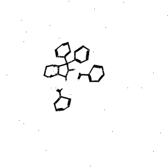 O=C(OC1C2C3CCC(O3)C2C(c2ccccc2)(c2ccccc2)C1OC(=O)c1ccccc1)c1ccccc1